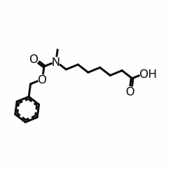 CN(CCCCCCC(=O)O)C(=O)OCc1ccccc1